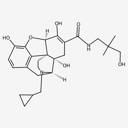 CC(C)(CO)CNC(=O)C1=C(O)[C@@H]2Oc3c(O)ccc4c3[C@@]23CCN(CC2CC2)[C@H](C4)[C@]3(O)C1